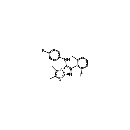 Cc1cccc(F)c1-c1nc2sc(C)c(C)n2c1Nc1ccc(F)cc1